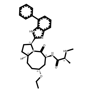 CCO[C@@H]1CC[C@H]2CC[C@@H](c3nc4cccc(-c5ccccc5)c4[nH]3)N2C(=O)[C@@H](NC(=O)[C@H](C)NC)C1